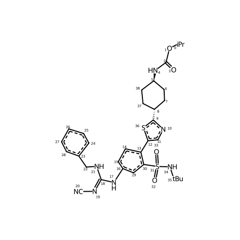 CC(C)OC(=O)N[C@H]1CC[C@H](c2ncc(-c3ccc(N/C(=N/C#N)NCc4ccccc4)cc3S(=O)(=O)NC(C)(C)C)s2)CC1